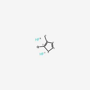 CC1=[C]([Ir])CC=C1.F.F